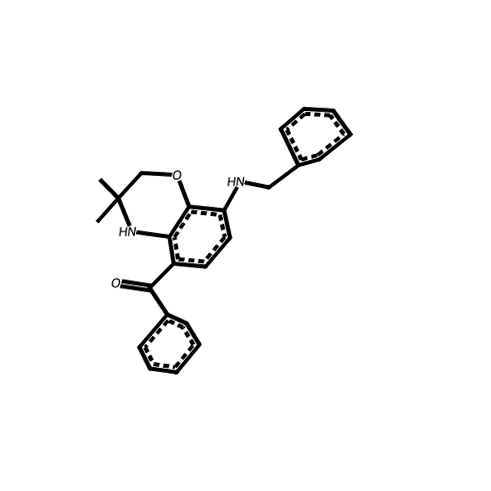 CC1(C)COc2c(NCc3ccccc3)ccc(C(=O)c3ccccc3)c2N1